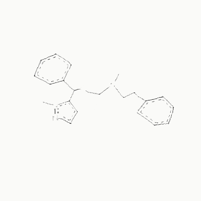 C[C@H](OC(c1ccccc1)c1ccnn1C)N(C)CCc1ccccc1